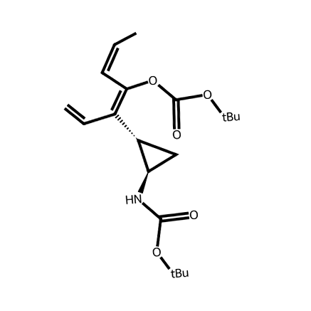 C=C/C(=C(\C=C/C)OC(=O)OC(C)(C)C)[C@@H]1C[C@H]1NC(=O)OC(C)(C)C